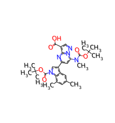 Cc1cc(C)c2c(c1)c(-c1cc(N(C)C(=O)OC(C)(C)C)n3ncc(C(=O)O)c3n1)cn2C(=O)OC(C)(C)C